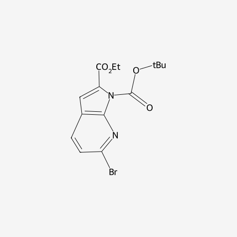 CCOC(=O)c1cc2ccc(Br)nc2n1C(=O)OC(C)(C)C